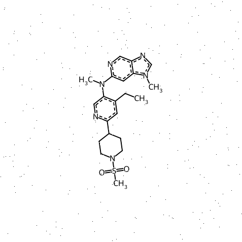 CCc1cc(C2CCN(S(C)(=O)=O)CC2)ncc1N(C)c1cc2c(cn1)ncn2C